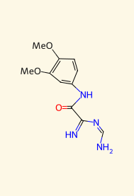 COc1ccc(NC(=O)C(=N)/N=C\N)cc1OC